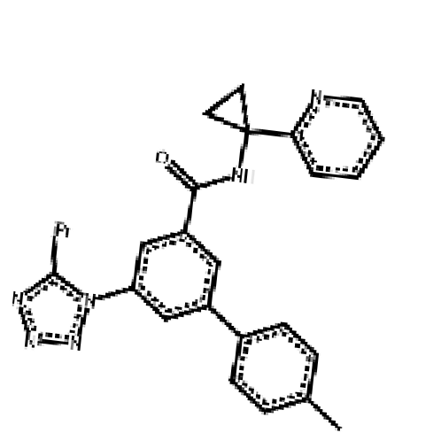 Cc1ccc(-c2cc(C(=O)NC3(c4ccccn4)CC3)cc(-n3nnnc3C(C)C)c2)cc1